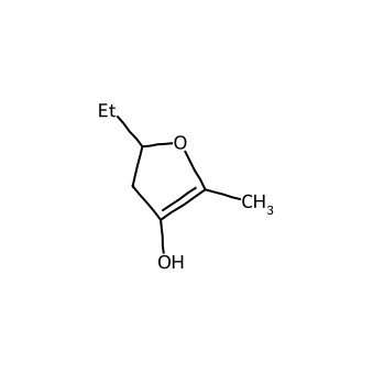 CCC1CC(O)=C(C)O1